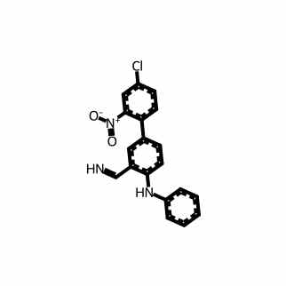 N=Cc1cc(-c2ccc(Cl)cc2[N+](=O)[O-])ccc1Nc1ccccc1